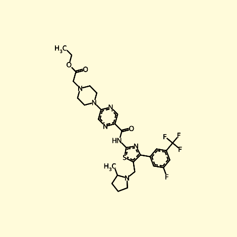 CCOC(=O)CN1CCN(c2cnc(C(=O)Nc3nc(-c4cc(F)cc(C(F)(F)F)c4)c(CN4CCCC4C)s3)cn2)CC1